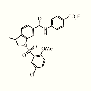 CCOC(=O)c1ccc(NC(=O)c2ccc3c(c2)N(S(=O)(=O)c2cc(Cl)ccc2OC)CC3C)cc1